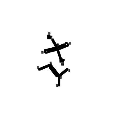 CC=C(C)C.O=S(=O)(Br)Br